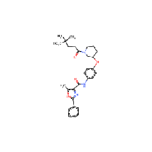 CC(C)(CCC(=O)N1CCCC(Oc2ccc(NC(=O)c3nc(-c4ccccc4)oc3C(F)(F)F)cc2)C1)C(=O)O